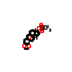 C[C@]12CC=C3C=C4CCC5(C[C@]46CCC3(O6)[C@@H]1CC=C2OS(=O)(=O)C(F)(F)F)OCCO5